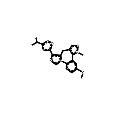 COc1ccc2c(c1)-c1c(cnn1C)Cc1c(-c3nc(C(C)C)no3)ncn1-2